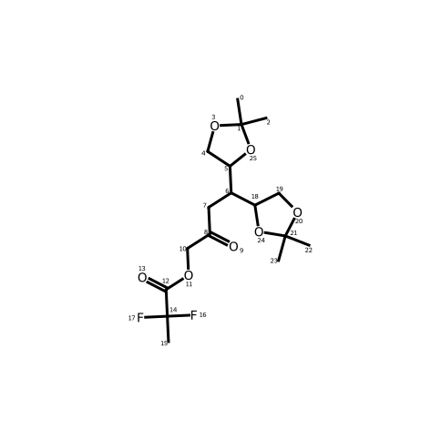 CC1(C)OCC(C(CC(=O)COC(=O)C(C)(F)F)C2COC(C)(C)O2)O1